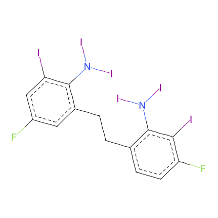 Fc1cc(I)c(N(I)I)c(CCc2ccc(F)c(I)c2N(I)I)c1